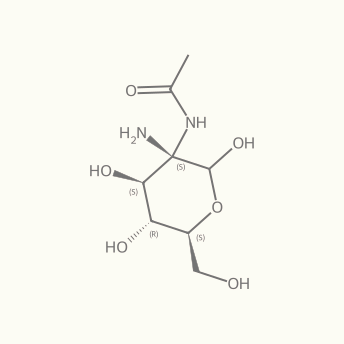 CC(=O)N[C@]1(N)C(O)O[C@@H](CO)[C@H](O)[C@H]1O